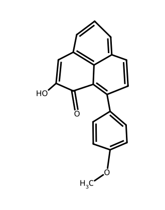 COc1ccc(-c2ccc3cccc4c3c2C(=O)C(O)=C4)cc1